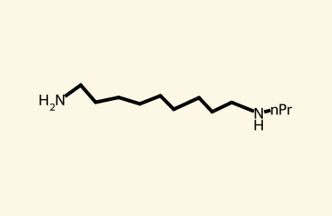 CCCNCCCCCCCCCN